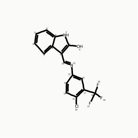 Oc1[nH]c2ccccc2c1C=Nc1ccc(Cl)c(C(F)(F)F)c1